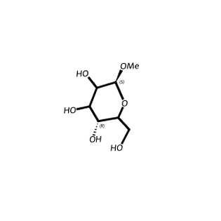 CO[C@H]1OC(CO)[C@H](O)C(O)C1O